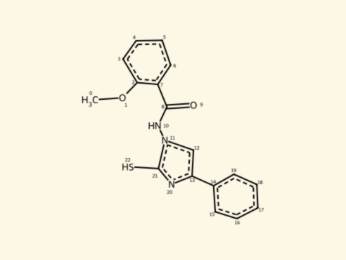 COc1ccccc1C(=O)Nn1cc(-c2ccccc2)nc1S